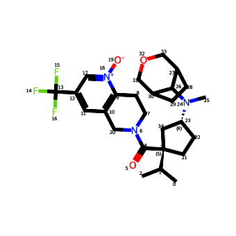 CC(C)[C@]1(C(=O)N2CCc3c(cc(C(F)(F)F)c[n+]3[O-])C2)CC[C@@H](N(C)C2C3CCC2COC3)C1